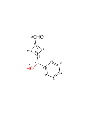 O=CC12CC(C(O)c3ccccc3)(C1)C2